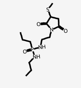 CCCNP(=O)(CCC)NCCN1C(=O)CC(SC)C1=O